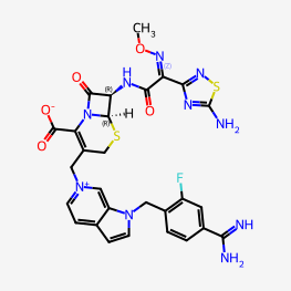 CO/N=C(\C(=O)N[C@@H]1C(=O)N2C(C(=O)[O-])=C(C[n+]3ccc4ccn(Cc5ccc(C(=N)N)cc5F)c4c3)CS[C@H]12)c1nsc(N)n1